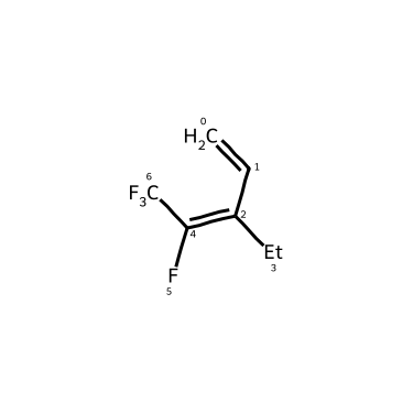 C=CC(CC)=C(F)C(F)(F)F